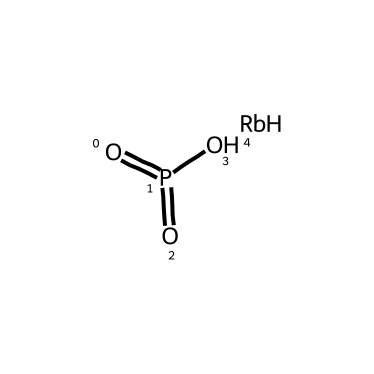 O=P(=O)O.[RbH]